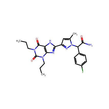 CCCn1c(=O)c2[nH]c(-c3cc(C)n(C(C(N)=O)c4ccc(F)cc4)n3)nc2n(CCC)c1=O